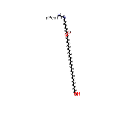 CCCCC/C=C\C/C=C\CCCCCCCC(=O)OCCCCCCCCCCCCCCCCCCCCCCCCCCCCCCCCO